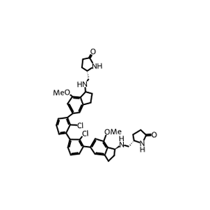 COc1cc(-c2cccc(-c3cccc(-c4cc5c(c(OC)c4)[C@@H](NC[C@@H]4CCC(=O)N4)CC5)c3Cl)c2Cl)cc2c1C(NC[C@@H]1CCC(=O)N1)CC2